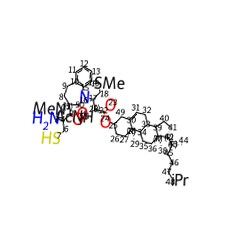 CN[C@]1(C(=O)C(N)CS)CCc2ccccc2N(C(CSC)[C@H](NC(C)=O)C(=O)OC2CC[C@@]3(C)C(=CCC4C3CC[C@@]3(C)C4CC[C@@H]3[C@H](C)CCCC(C)C)C2)C1=O